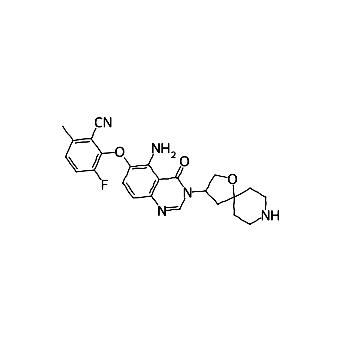 Cc1ccc(F)c(Oc2ccc3ncn(C4COC5(CCNCC5)C4)c(=O)c3c2N)c1C#N